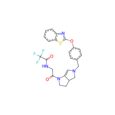 O=C(CNC(=O)C(F)(F)F)N1CCC2CN(Cc3ccc(Oc4nc5ccccc5s4)cc3)C=C21